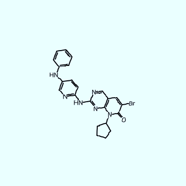 O=c1c(Br)cc2cnc(Nc3ccc(Nc4ccccc4)cn3)nc2n1C1CCCC1